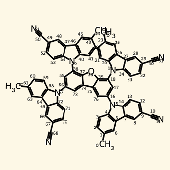 Cc1ccc2c(c1)c1cc(C#N)ccc1n2-c1cc(-n2c3ccc(C)cc3c3cc(C#N)ccc32)c2oc3c(-n4c5ccc(C)cc5c5cc(C#N)ccc54)cc(-n4c5ccc(C)cc5c5cc(C#N)ccc54)cc3c2c1